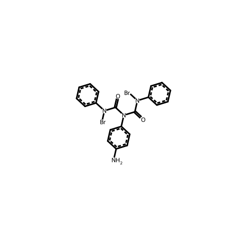 Nc1ccc(N(C(=O)N(Br)c2ccccc2)C(=O)N(Br)c2ccccc2)cc1